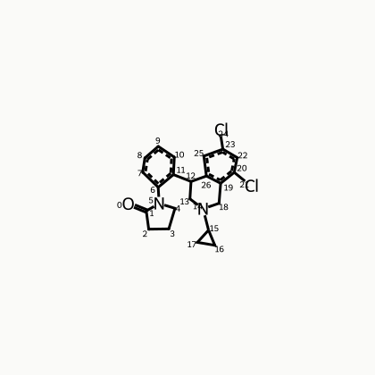 O=C1CCCN1c1ccccc1C1CN(C2CC2)Cc2c(Cl)cc(Cl)cc21